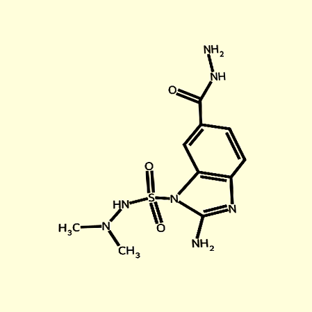 CN(C)NS(=O)(=O)n1c(N)nc2ccc(C(=O)NN)cc21